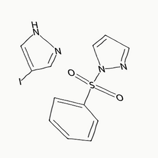 Ic1cn[nH]c1.O=S(=O)(c1ccccc1)n1cccn1